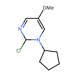 COC1=CN(C2CCCC2)C(Cl)N=C1